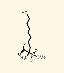 COP(=O)(O)C(C)(CCCCCCCO)C(=O)C(C)C